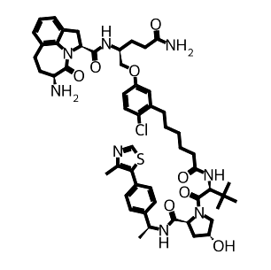 Cc1ncsc1-c1ccc([C@H](C)NC(=O)[C@@H]2C[C@@H](O)CN2C(=O)[C@@H](NC(=O)CCCCCc2cc(OC[C@H](CCC(N)=O)NC(=O)[C@@H]3Cc4cccc5c4N3C(=O)[C@@H](N)CC5)ccc2Cl)C(C)(C)C)cc1